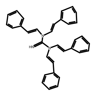 N=C(N(C=Cc1ccccc1)C=Cc1ccccc1)N(C=Cc1ccccc1)C=Cc1ccccc1